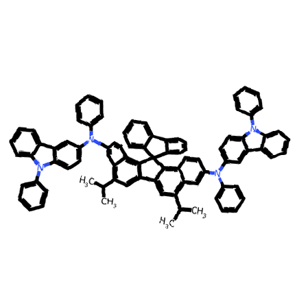 CC(C)c1cc2c(c3ccc(N(c4ccccc4)c4ccc5c(c4)c4ccccc4n5-c4ccccc4)cc13)C1(c3ccccc3-c3ccccc31)c1c-2cc(C(C)C)c2cc(N(c3ccccc3)c3ccc4c(c3)c3ccccc3n4-c3ccccc3)ccc12